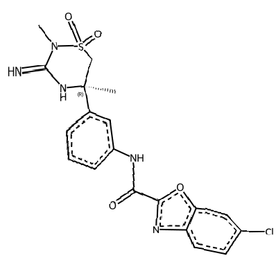 CN1C(=N)N[C@](C)(c2cccc(NC(=O)c3nc4ccc(Cl)cc4o3)c2)CS1(=O)=O